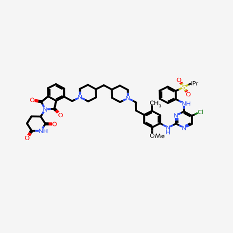 COc1cc(CCN2CCC(CC3CCN(Cc4cccc5c4C(=O)N(C4CCC(=O)NC4=O)C5=O)CC3)CC2)c(C)cc1Nc1ncc(Cl)c(Nc2ccccc2S(=O)(=O)C(C)C)n1